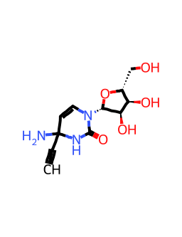 C#CC1(N)C=CN([C@@H]2O[C@H](CO)[C@@H](O)[C@H]2O)C(=O)N1